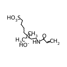 C=CC(=O)NCC[N+](C)(C)CCCCS(=O)(=O)O.[OH-]